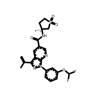 C=C(C)c1nn(-c2cccc(OC(F)F)c2)c2ncc(C(=O)N[C@@]3(C)CCS(=O)(=O)C3)cc12